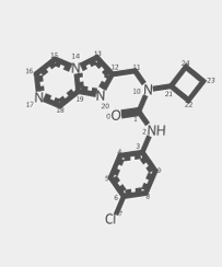 O=C(Nc1ccc(Cl)cc1)N(Cc1cn2ccncc2n1)C1CCC1